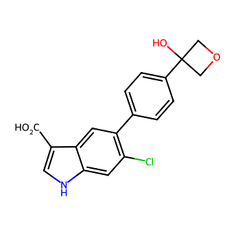 O=C(O)c1c[nH]c2cc(Cl)c(-c3ccc(C4(O)COC4)cc3)cc12